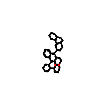 c1ccc(-c2ccccc2-c2c3ccccc3c(-c3ccc4ccc5ccccc5c4c3)c3ccccc23)cc1